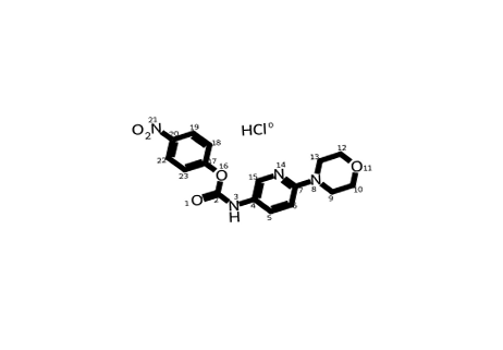 Cl.O=C(Nc1ccc(N2CCOCC2)nc1)Oc1ccc([N+](=O)[O-])cc1